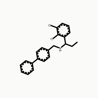 CCC(NCc1ccc(-c2ccccc2)cc1)c1cccc(Cl)c1Cl